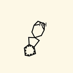 c1ccc2c(c1)CC1(C2)CC2CCC(C1)N2